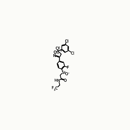 O=C(C[S+]([O-])c1ccc(C2=NO[C@@](c3cc(Cl)cc(Cl)c3)(C(F)(F)F)C2)cc1F)NCC(F)(F)F